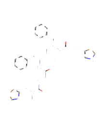 CC(C)c1nc(CN(C)C(=O)N[C@@H](C)C(=O)N[C@@H](Cc2ccccc2)[C@H](O)C(O)[C@@H](Cc2ccccc2)NC(=O)OCc2cncs2)cs1